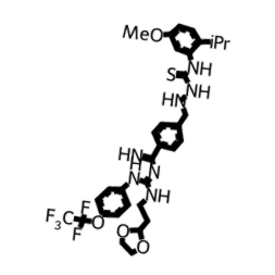 COc1ccc(C(C)C)c(NC(=S)NNCc2ccc(C(=N)/N=C(/NCCC3OCCO3)Nc3ccc(OC(F)(F)C(F)(F)F)cc3)cc2)c1